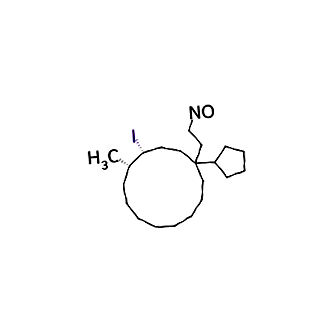 C[C@H]1CCCCCCCCC(CCN=O)(C2CCCC2)CC[C@H]1I